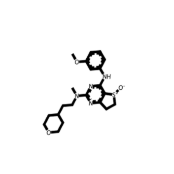 COc1cccc(Nc2nc(N(C)CCC3CCOCC3)nc3c2[S+]([O-])CC3)c1